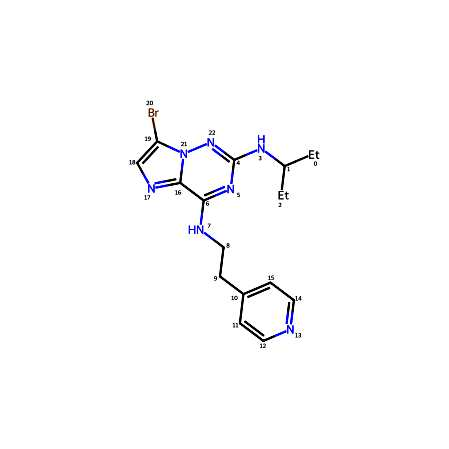 CCC(CC)Nc1nc(NCCc2ccncc2)c2ncc(Br)n2n1